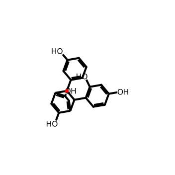 Oc1cccc(C2c3cc(O)c(cc3O)C2c2ccc(O)cc2O)c1